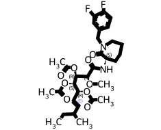 CCC(C)/C=C/[C@@H](OC(C)=O)[C@H](OC(C)=O)[C@@H](OC(C)=O)[C@@H](OC)C(=O)N[C@H]1CCCCN(Cc2ccc(F)c(F)c2)C1=O